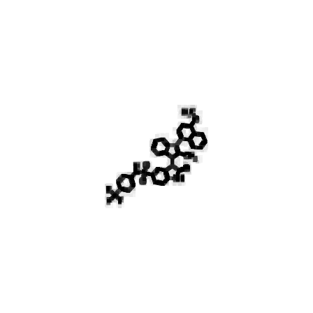 COc1ccc(C2=C(C)C(C3C(=O)Nc4ccc(S(=O)(=O)Nc5ccc(C(F)(F)F)cc5)cc43)c3ccccc32)c2ccccc12